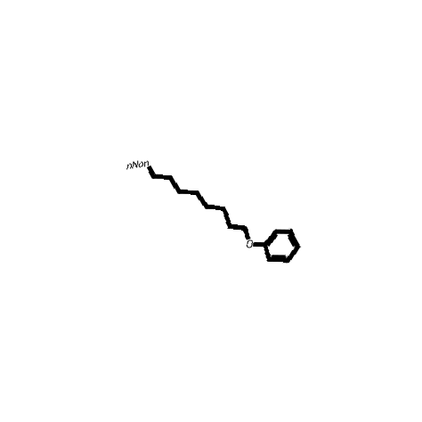 CCCCCCCCCCCCCCCCCOc1cc[c]cc1